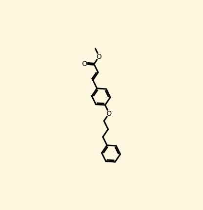 COC(=O)/C=C/c1ccc(OCCCc2ccccc2)cc1